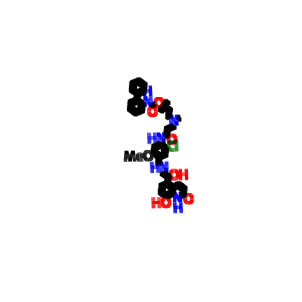 COc1cc(NC(=O)CCN(C)CCC(C)(C)OC(=O)Nc2ccccc2-c2ccccc2)c(Cl)cc1CNC[C@H](O)c1ccc(O)c2[nH]c(=O)ccc12